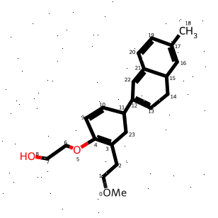 COCCC1=C(OCCO)C=CC(C2=CCC3C=C(C)C=CC3=C2)C1